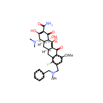 CCCN(Cc1ccccc1)Cc1cc(OC)c2c(c1F)C[C@H]1C[C@H]3[C@H](N(C)C)C(O)=C(C(N)=O)C(=O)[C@@]3(O)C(O)=C1C2=O